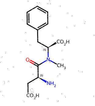 CN(C(=O)[C@@H](N)CC(=O)O)[C@@H](Cc1ccccc1)C(=O)O